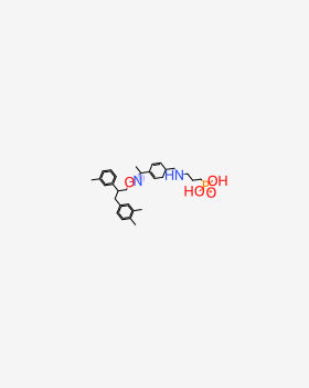 C/C(=N\OCC(Cc1ccc(C)c(C)c1)c1cccc(C)c1)C1=CCC(CNCCCP(=O)(O)O)C=C1